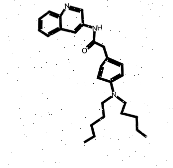 CCCCCN(CCCCC)c1ccc(CC(=O)Nc2cnc3ccccc3c2)cc1